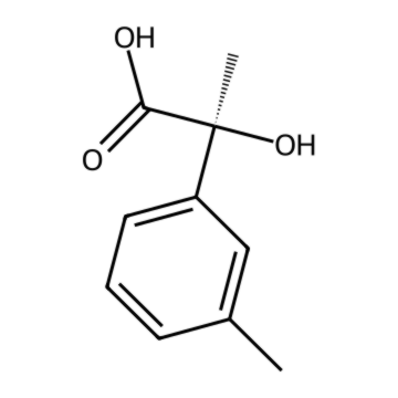 Cc1cccc([C@](C)(O)C(=O)O)c1